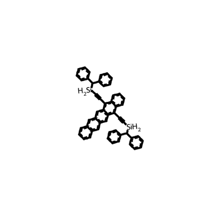 C(#Cc1c2ccccc2c(C#C[SiH2]C(c2ccccc2)c2ccccc2)c2cc3cc4ccccc4cc3cc12)[SiH2]C(c1ccccc1)c1ccccc1